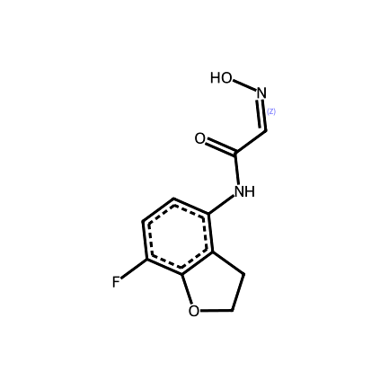 O=C(/C=N\O)Nc1ccc(F)c2c1CCO2